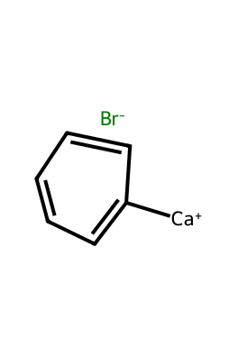 [Br-].[Ca+][c]1ccccc1